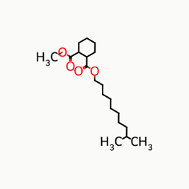 COC(=O)C1CCCCC1C(=O)OCCCCCCCCC(C)C